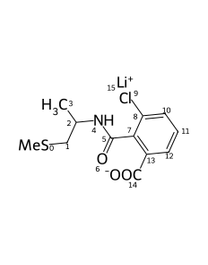 CSCC(C)NC(=O)c1c(Cl)cccc1C(=O)[O-].[Li+]